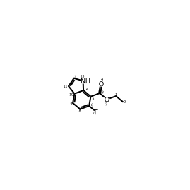 CCOC(=O)c1c(F)ccc2cc[nH]c12